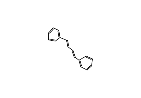 C(C=Cc1ccccc1)=Cc1ccccc1